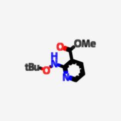 COC(=O)c1cccnc1NOC(C)(C)C